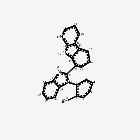 CC(C)c1ccccc1-n1c(-c2cccc3c2oc2ncccc23)nc2ccccc21